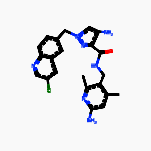 Cc1cc(N)nc(C)c1CNC(=O)c1nn(Cc2ccc3ncc(Cl)cc3c2)cc1N